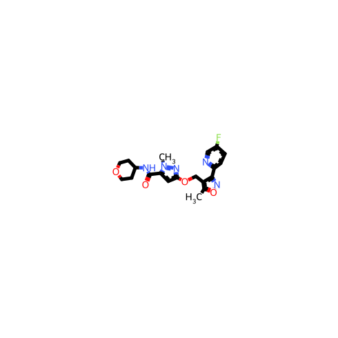 Cc1onc(-c2ccc(F)cn2)c1COc1cc(C(=O)NC2CCOCC2)n(C)n1